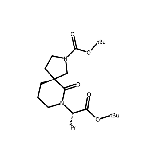 CC(C)[C@@H](C(=O)OC(C)(C)C)N1CCC[C@]2(CCN(C(=O)OC(C)(C)C)C2)C1=O